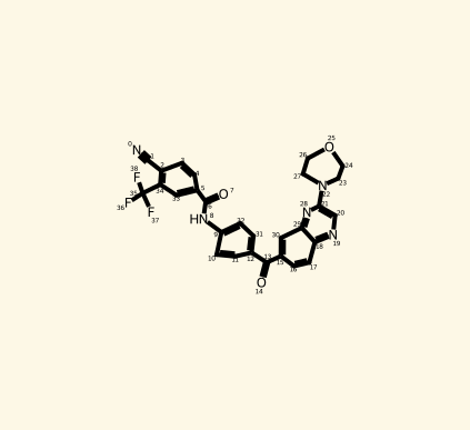 N#Cc1ccc(C(=O)Nc2ccc(C(=O)c3ccc4ncc(N5CCOCC5)nc4c3)cc2)cc1C(F)(F)F